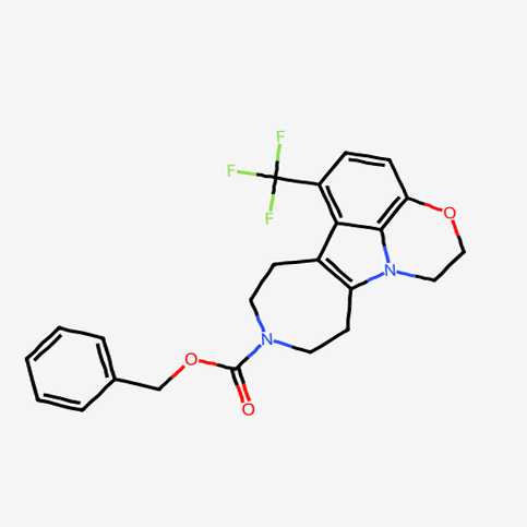 O=C(OCc1ccccc1)N1CCc2c(n3c4c(ccc(C(F)(F)F)c24)OCC3)CC1